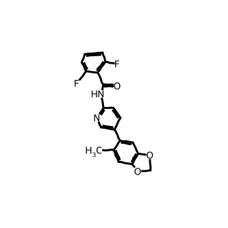 Cc1cc2c(cc1-c1ccc(NC(=O)c3c(F)cccc3F)nc1)OCO2